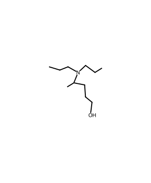 CCCN(CCC)C(C)CCCO